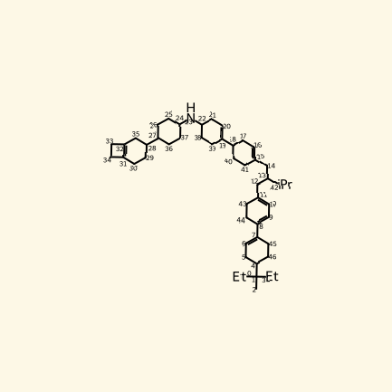 CCC(C)(CC)C1CC=C(C2=CC=C(CC(CC3=CCC(C4=CCC(NC5CCC(C6CCC7=C(CC7)C6)CC5)CC4)CC3)C(C)C)CC2)CC1